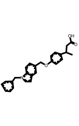 CC(CC(=O)O)c1ccc(OCc2ccc3c(ccn3Cc3ccccc3)c2)cc1